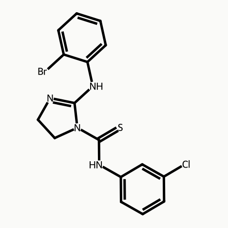 S=C(Nc1cccc(Cl)c1)N1CCN=C1Nc1ccccc1Br